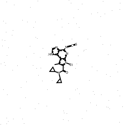 CCn1c(C(=O)N(C2CC2)C2CC2)c(C)c2c3[nH]cnc3c(N=C=S)nc21